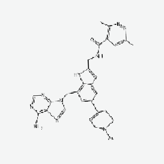 CC(=O)N1CC=C(c2cc(Cn3cnc4c(N)ncnc43)c3[nH]c(CNC(=O)c4cc(C)nnc4C)cc3c2)CC1